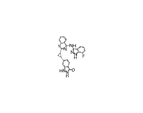 O=c1[nH][nH]c2cc(C3CC3c3nc(Nc4n[nH]c5c(F)cccc45)c4ccccc4n3)ccc12